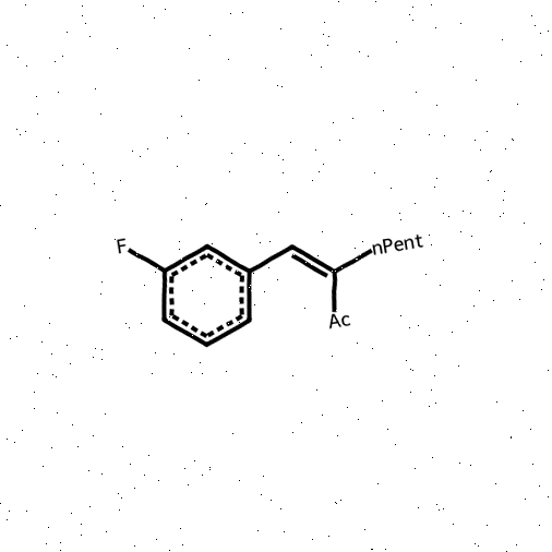 CCCCCC(=Cc1cccc(F)c1)C(C)=O